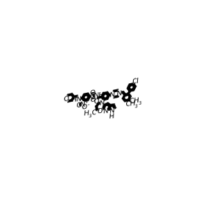 C[C@@H]1CCN(c2cc(N3CCN(CC4=C(c5ccc(Cl)cc5)CC(C)(C)CC4)CC3)ccc2C(=O)NS(=O)(=O)c2ccc(NCC3CCOCC3)c([N+](=O)[O-])c2)c2cc3cc[nH]c3nc2O1